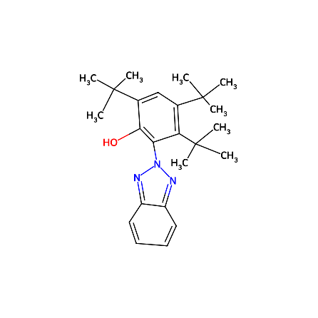 CC(C)(C)c1cc(C(C)(C)C)c(C(C)(C)C)c(-n2nc3ccccc3n2)c1O